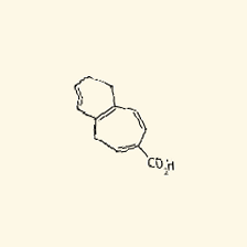 O=C(O)C1=CCC2=C(C=C1)CCC=C2